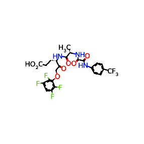 C[C@H](NC(=O)C(=O)Nc1ccc(C(F)(F)F)cc1)C(=O)N[C@@H](CCC(=O)O)C(=O)COc1c(F)c(F)cc(F)c1F